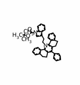 CC(C)(C)OC(=O)n1cc(CC[n+]2c3c(c(-c4ccccc4)c4c2-c2ccccc2CC4)CCc2ccccc2-3)c2ccccc21